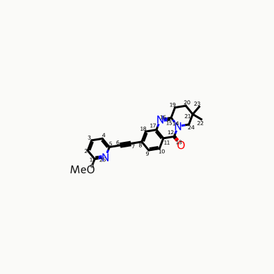 COc1cccc(C#Cc2ccc3c(=O)n4c(nc3c2)CCC(C)(C)C4)n1